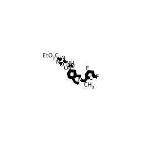 CCOC(=O)c1noc(NS(=O)(=O)c2ccc3c(c2)CN([C@H](C)c2cc(F)cc(F)c2)CC3)n1